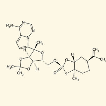 C=C(C)[C@H]1CC[C@@]2(C)S[P@@](=O)(OC[C@H]3O[C@@](C)(c4ccc5c(N)ncnn45)[C@@H]4OC(C)(C)O[C@@H]43)O[C@@H]2C1